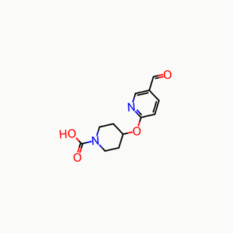 O=Cc1ccc(OC2CCN(C(=O)O)CC2)nc1